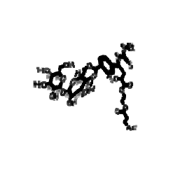 CCSC(=S)SC(CC(C)C(=O)OCCOC(=O)CCC(C)=O)c1ccc(C2OC[C@H]3O[C@H](O[C@H]4O[C@H](CO)[C@@H](O)[C@H](O)[C@H]4O)[C@H](O)[C@@H](O)[C@@H]3O2)cc1